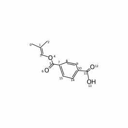 CC(C)=COC(=O)c1ccc(C(=O)O)cc1